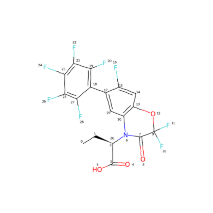 CC[C@H](C(=O)O)N1C(=O)C(F)(F)Oc2cc(F)c(-c3c(F)c(F)c(F)c(F)c3F)cc21